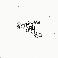 COC(C)(C)C(=O)N1Cc2cc(S(C)(=O)=O)ccc2C1C(=O)Nc1ccc(C(C)(O)C(F)(F)F)cc1